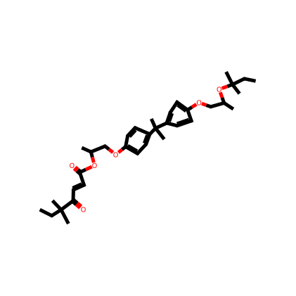 CCC(C)(C)OC(C)COc1ccc(C(C)(C)c2ccc(OCC(C)OC(=O)/C=C/C(=O)C(C)(C)CC)cc2)cc1